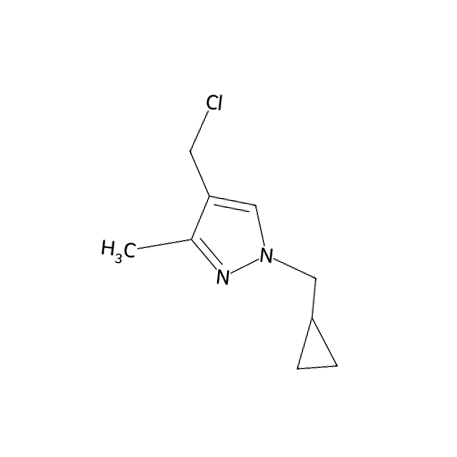 Cc1nn(CC2CC2)cc1CCl